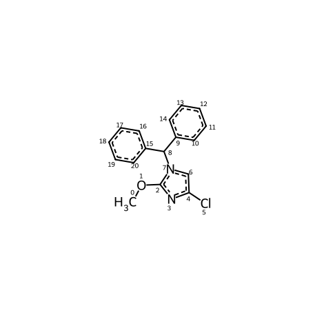 COc1nc(Cl)cn1C(c1ccccc1)c1ccccc1